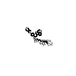 C#CC(C)(C)CC(=O)NCCCCN(C)/N=C(\CC(C=C)c1cccc2ncccc12)c1ccc(N2CC3=C(CCN=C3)C2)cc1